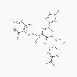 CCN(c1cc(-c2cnn(C)c2)cc(C(=O)NCC2=C(C)C=C(C)NC2O)c1C)[C@H]1CC[C@H](N(C)C)CC1